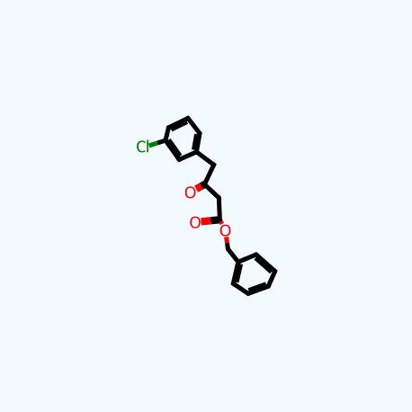 O=C(CC(=O)OCc1ccccc1)Cc1cccc(Cl)c1